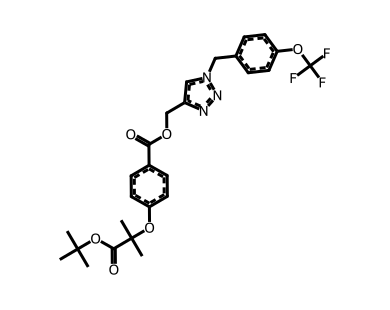 CC(C)(C)OC(=O)C(C)(C)Oc1ccc(C(=O)OCc2cn(Cc3ccc(OC(F)(F)F)cc3)nn2)cc1